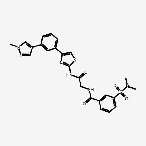 CN(C)S(=O)(=O)c1cccc(C(=O)NCC(=O)Nc2nc(-c3cccc(-c4cnn(C)c4)c3)cs2)c1